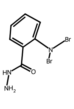 NNC(=O)c1ccccc1N(Br)Br